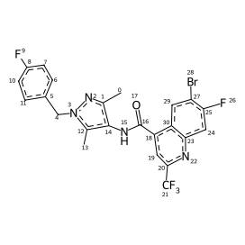 Cc1nn(Cc2ccc(F)cc2)c(C)c1NC(=O)c1cc(C(F)(F)F)nc2cc(F)c(Br)cc12